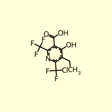 CCc1c(C(F)(F)Cl)nc(C(F)(F)F)c(C(=O)O)c1O